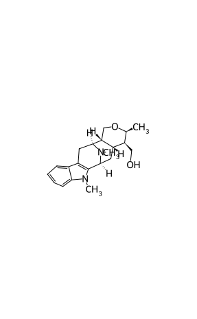 C[C@@H]1OC[C@@H]2[C@@H](C[C@H]3c4c(c5ccccc5n4C)C[C@@H]2N3C)[C@@H]1CO